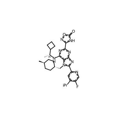 CC(C)c1cc(-c2nc3nc(-c4noc(=O)[nH]4)nc(N[C@H](C)C4CCC4)c3n2C[C@H]2CC[C@H](C)CC2)ncc1F